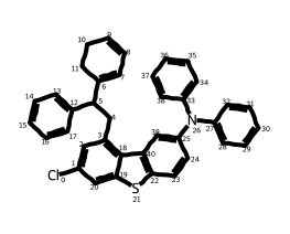 Clc1cc(CC(C2=CC=CCC2)c2ccccc2)c2c(c1)sc1ccc(N(c3ccccc3)c3ccccc3)cc12